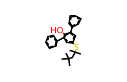 CC(C)(C)CC(C)(C)Sc1cc(-c2ccccc2)c(O)c(-c2ccccc2)c1